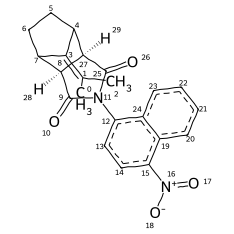 CC(C)=C1C2CCC1[C@@H]1C(=O)N(c3ccc([N+](=O)[O-])c4ccccc34)C(=O)[C@H]21